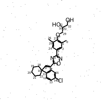 Cc1cc(-c2noc(C=CC3(c4ccc(Cl)cc4)CCCCC3)n2)cc(C)c1OC[C@@H](O)CO